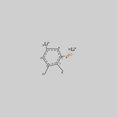 Cc1cccc([P-2])c1C.[Li+].[Li+]